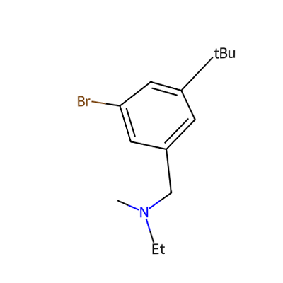 CCN(C)Cc1cc(Br)cc(C(C)(C)C)c1